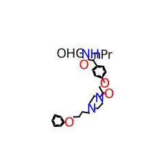 CCCC(C(=O)NC=O)c1ccc(OCC(=O)N2CCN(CCCCOc3ccccc3)CC2)cc1